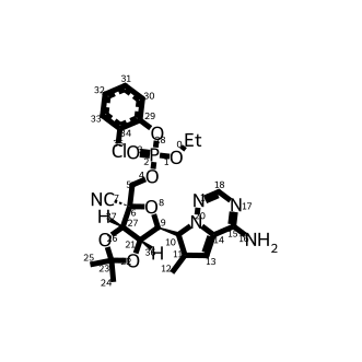 CCOP(=O)(OC[C@@]1(C#N)O[C@@H](C2C(C)C=C3C(N)=NC=NN32)[C@@H]2OC(C)(C)O[C@@H]21)Oc1ccccc1Cl